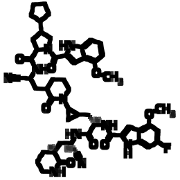 COc1cc(F)cc2[nH]c(C(=O)N[C@@H](CC3CC3N3CCCC(CC(C#N)NC(=O)C4CC(C5CCCC5)CN4C(=O)c4cc5c(OC)cccc5[nH]4)C3=O)C(=O)N[C@H](C#N)C[C@@H]3CCCNC3=O)cc12